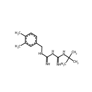 Cc1ccc(CNC(=N)NC(=N)NC(C)(C)C)cc1C